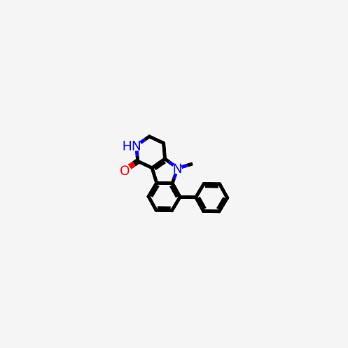 Cn1c2c(c3cccc(-c4ccccc4)c31)C(=O)NCC2